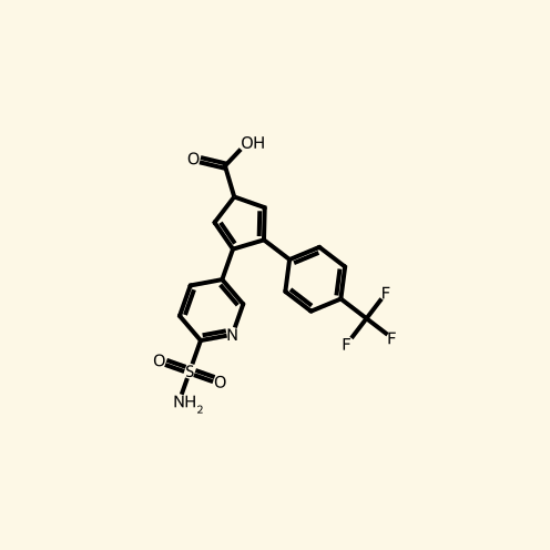 NS(=O)(=O)c1ccc(C2=CC(C(=O)O)C=C2c2ccc(C(F)(F)F)cc2)cn1